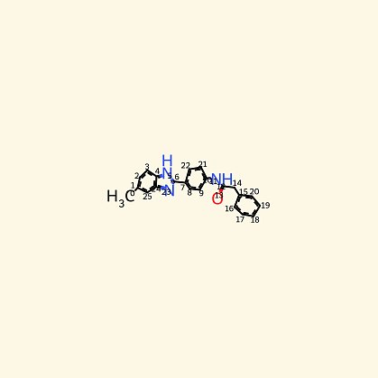 Cc1ccc2[nH]c(-c3ccc(NC(=O)Cc4ccccc4)cc3)nc2c1